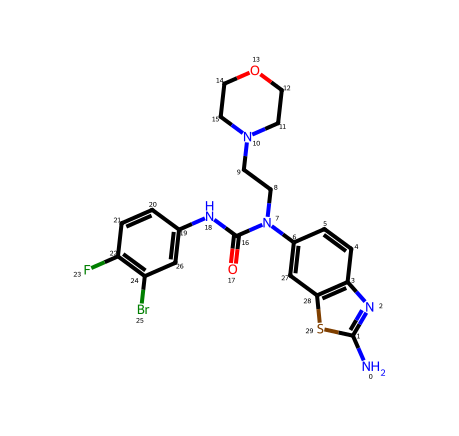 Nc1nc2ccc(N(CCN3CCOCC3)C(=O)Nc3ccc(F)c(Br)c3)cc2s1